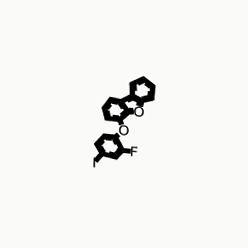 Fc1cc(I)ccc1Oc1cccc2c1oc1ccccc12